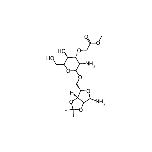 COC(=O)CO[C@@H]1C(N)C(OC[C@H]2OC(N)C3OC(C)(C)O[C@@H]32)OC(CO)[C@H]1O